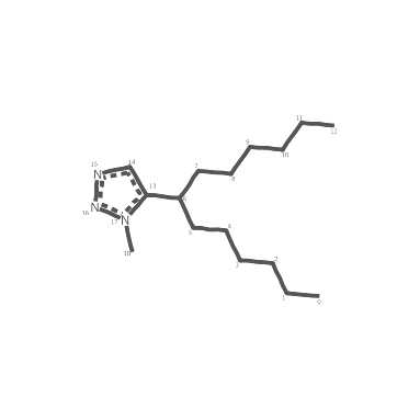 CCCCCCC(CCCCCC)c1cnnn1C